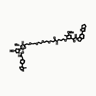 COc1cc(C(=O)N[C@@H]2CCc3ccc(-c4cn5c(n4)CCC5)cc32)cc(OCCCNC(=O)CCOCCOCCOCCOCCC(=O)N[C@H](C(=O)N2C[C@H](O)C[C@H]2C(=O)NCc2ccc(-c3scnc3C)cc2)C(C)(C)C)c1C